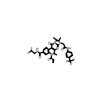 C=CC(=O)Nc1cc(C(=O)NCC(F)F)ccc1-c1c(CC)nc2n(CC(=O)Nc3ccc(C(F)(F)F)cc3)c(C)c(C)n2c1=O